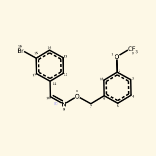 FC(F)(F)Oc1cccc(CO/N=[C]\c2cccc(Br)c2)c1